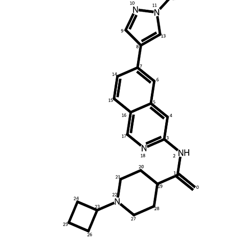 C=C(Nc1cc2cc(-c3cnn(C)c3)ccc2cn1)C1CCN(C2CCC2)CC1